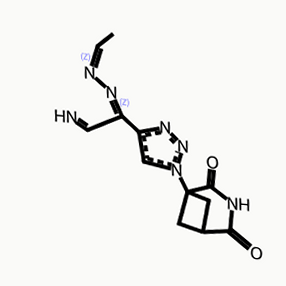 C/C=N\N=C(/C=N)c1cn(C23CC(C2)C(=O)NC3=O)nn1